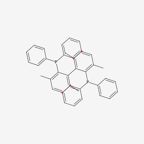 Cc1ccc(C)c(P(c2ccccc2)c2ccccc2)c1-c1c(C)ccc(C)c1P(c1ccccc1)c1ccccc1